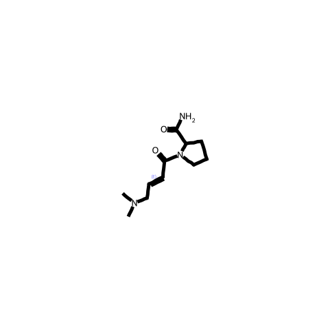 CN(C)C/C=C/C(=O)N1CCCC1C(N)=O